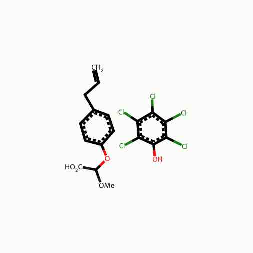 C=CCc1ccc(OC(OC)C(=O)O)cc1.Oc1c(Cl)c(Cl)c(Cl)c(Cl)c1Cl